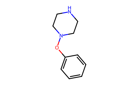 c1ccc(ON2CCNCC2)cc1